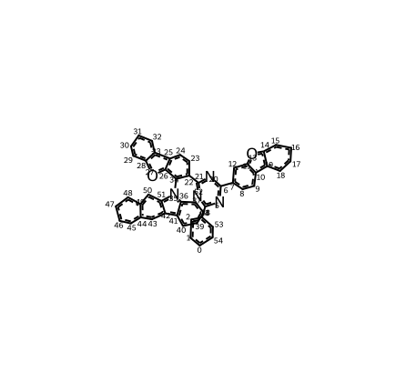 c1ccc(-c2nc(-c3ccc4c(c3)oc3ccccc34)nc(-c3ccc4c(oc5ccccc54)c3-n3c4ccccc4c4cc5ccccc5cc43)n2)cc1